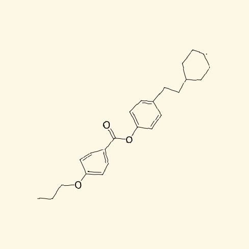 CCCOc1ccc(C(=O)Oc2ccc(CCC3CC[CH]CC3)cc2)cc1